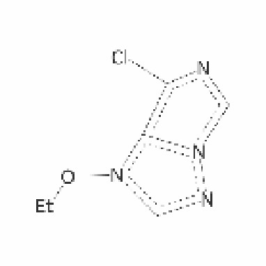 CCOn1cnn2cnc(Cl)c12